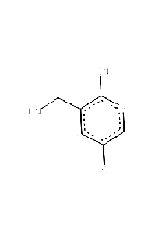 N#Cc1ncc(Cl)cc1CN